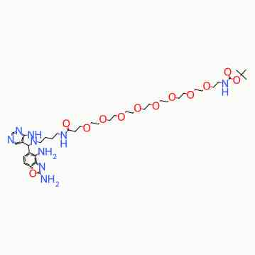 CC(C)(C)OC(=O)NCCOCCOCCOCCOCCOCCOCCOCCOCCC(=O)NCCCCN1Nc2ncncc2C1c1ccc2oc(N)nc2c1N